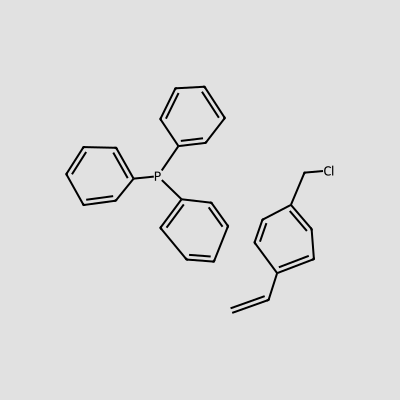 C=Cc1ccc(CCl)cc1.c1ccc(P(c2ccccc2)c2ccccc2)cc1